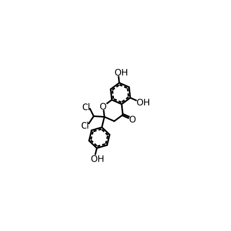 O=C1CC(c2ccc(O)cc2)(C(Cl)Cl)Oc2cc(O)cc(O)c21